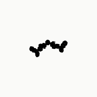 c1cc(-c2cnc3c(ccc4cc(-n5c6ccccc6c6cc7ccccc7cc65)ccc43)c2)cc(-c2cnc3c(ccc4cc(-n5c6ccccc6c6cc7ccccc7cc65)ccc43)c2)c1